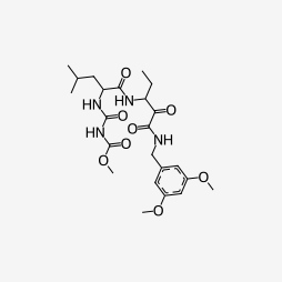 CCC(NC(=O)C(CC(C)C)NC(=O)NC(=O)OC)C(=O)C(=O)NCc1cc(OC)cc(OC)c1